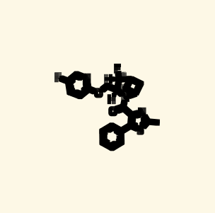 Cc1nc(C(=O)N2C3CC(C3)[C@@H](F)[C@@H]2COc2ccc(F)cn2)c(-c2ccccc2)s1